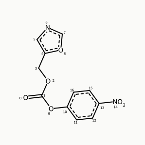 O=C(OCc1cnco1)Oc1ccc([N+](=O)[O-])cc1